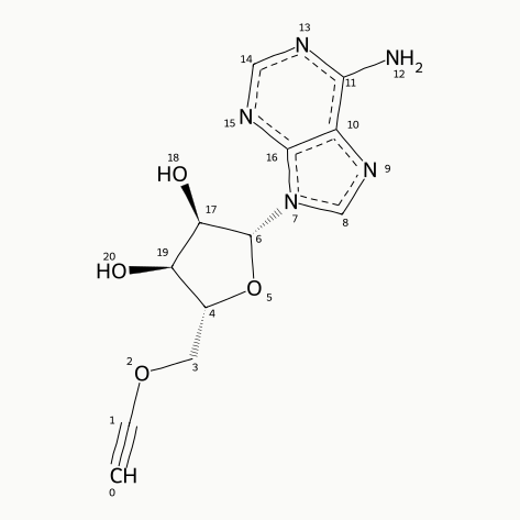 C#COC[C@H]1O[C@@H](n2cnc3c(N)ncnc32)[C@H](O)[C@@H]1O